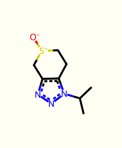 CC(C)n1nnc2c1CC[S+]([O-])C2